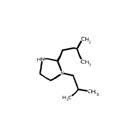 CC(C)CC1NCCN1CC(C)C